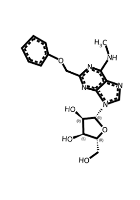 CNc1nc(COc2ccccc2)nc2c1ncn2[C@@H]1O[C@H](CO)[C@@H](O)[C@H]1O